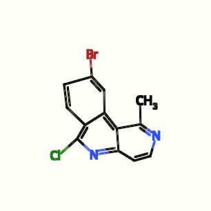 Cc1nccc2nc(Cl)c3ccc(Br)cc3c12